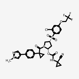 Cn1cc(-c2ccc(C3(C(=O)N4C[C@H](S(=O)(=O)c5ccc(OCC(F)(F)F)cc5Cl)C[C@@H]4OC(=O)NC4(C#N)CC4)CC3)cc2)cn1